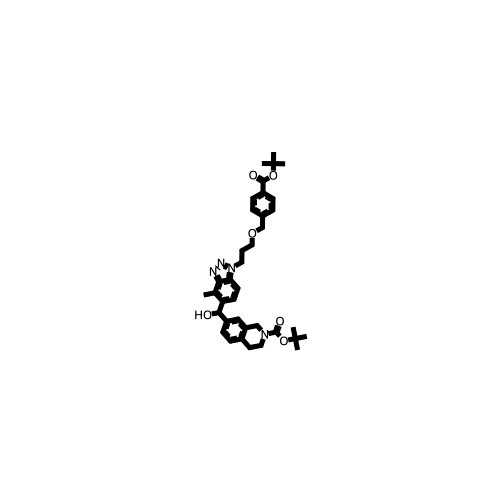 Cc1c(C(O)c2ccc3c(c2)CN(C(=O)OC(C)(C)C)CC3)ccc2c1nnn2CCCOCc1ccc(C(=O)OC(C)(C)C)cc1